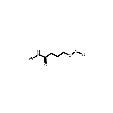 CCCNC(=O)CCCONCC